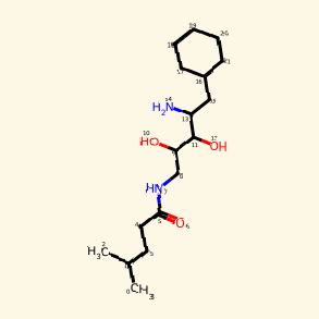 CC(C)CCC(=O)NCC(O)C(O)C(N)CC1CCCCC1